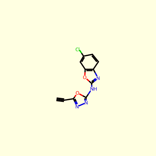 C#Cc1nnc(Nc2nc3ccc(Cl)cc3o2)o1